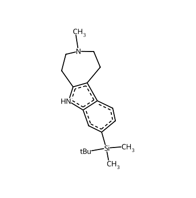 CN1CCc2[nH]c3cc([Si](C)(C)C(C)(C)C)ccc3c2CC1